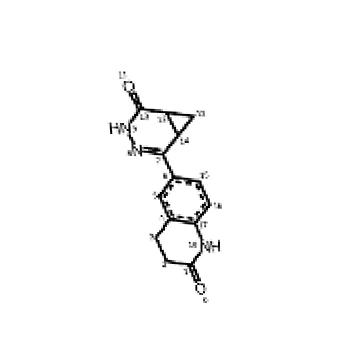 O=C1CCc2cc(C3=NNC(=O)C4CC34)ccc2N1